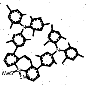 CS[Si]1(SC)c2cccc(-c3cc(C)c(N(c4c(C)cc(C)cc4C)c4c(C)cc(C)cc4C)cc3C)c2C=Cc2c(-c3cc(C)c(N(c4c(C)cc(C)cc4C)c4c(C)cc(C)cc4C)cc3C)cccc21